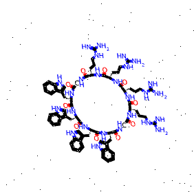 N=C(N)NCCC[C@@H]1NC(=O)CNC(=O)[C@H](Cc2c[nH]c3ccccc23)NC(=O)[C@H](Cc2c[nH]c3ccccc23)NC(=O)[C@H](Cc2c[nH]c3ccccc23)NC(=O)[C@H](Cc2c[nH]c3ccccc23)NC(=O)CNC(=O)[C@H](CCCNC(=N)N)NC(=O)[C@H](CCCNC(=N)N)NC(=O)[C@H](CCCNC(=N)N)NC1=O